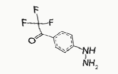 NNc1ccc(C(=O)C(F)(F)F)cc1